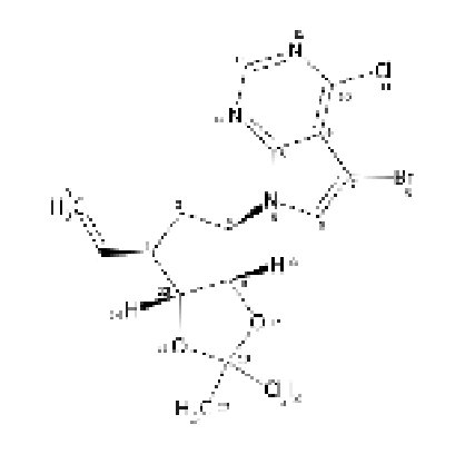 C=C[C@H]1C[C@@H](n2cc(Br)c3c(Cl)ncnc32)[C@@H]2OC(C)(C)O[C@@H]21